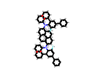 FC1=CC(c2ccccc2)=CC(c2ccccc2)C1N(c1ccccc1)c1ccc2ccc3c(N(c4ccccc4)c4c(F)cc(-c5ccccc5)cc4-c4ccccc4)ccc4ccc1c2c43